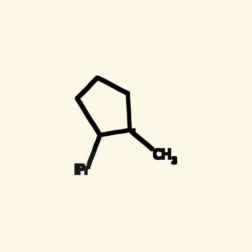 C[C]1CCCC1C(C)C